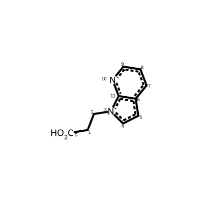 O=C(O)CCn1ccc2cccnc21